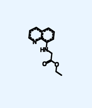 CCOC(=O)CNc1cccc2cccnc12